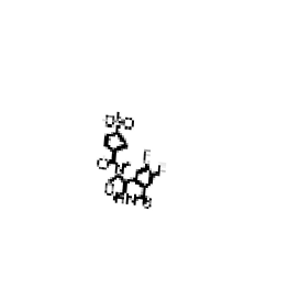 CN(C(=O)c1ccc(S(C)(=O)=O)cc1)[C@@H]1COCc2[nH]c(=O)c3cc(F)c(F)cc3c21